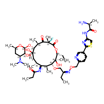 CCC(=O)/N=C1\[C@H](C)C[C@@](C)(O)[C@H](O[C@@H]2O[C@H](C)C[C@H](N(C)C)[C@H]2O)[C@@H](C)C(=O)[C@](C)(F)C(=O)O[C@H](CC)[C@@](C)(O)[C@H](OC/C(CC)=N\OCc2ccc(-c3nc(NC(=O)[C@H](C)N)cs3)cn2)[C@H]1C